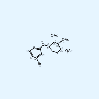 CC(=O)O[C@@H]1[C@@H](OC(C)=O)[C@H](OC(C)=O)CS[C@H]1Oc1cccc(Br)c1